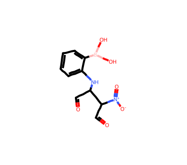 O=CC(Nc1ccccc1B(O)O)C(C=O)[N+](=O)[O-]